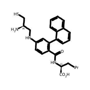 CC(C)C[C@H](NC(=O)c1ccc(NC[C@@H](N)CS)cc1-c1cccc2ccccc12)C(=O)O